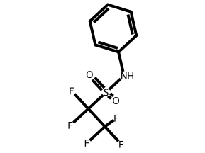 O=S(=O)(Nc1ccccc1)C(F)(F)C(F)(F)F